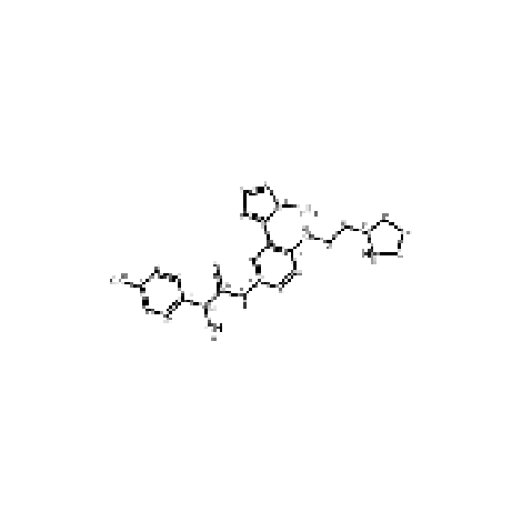 Cn1nccc1-c1cc(NC(=O)C(O)c2ccc(Cl)cc2)ccc1OCCC1CCCN1